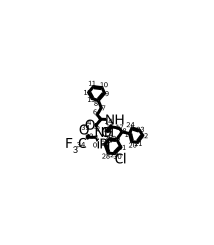 CC(C)[C@H](NC(=O)C(CCc1ccccc1)NC(=O)CC(c1ccccc1)c1cccc(Cl)c1)C(=O)C(F)(F)F